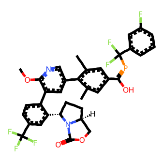 COc1ncc(-c2c(C)cc(/C(O)=P\C(F)(F)c3cccc(F)c3)cc2C)cc1-c1ccc(C(F)(F)F)cc1[C@@H]1CC[C@H]2COC(=O)N21